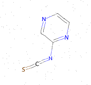 S=C=Nc1cnccn1